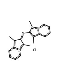 CC1=c2cccc[n+]2=C(C)/C1=N\c1c(C)c2ccccn2c1C.[Cl-]